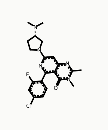 Cc1nc2cc(N3CC[C@H](N(C)C)C3)nc(-c3ccc(Cl)cc3F)c2c(=O)n1C